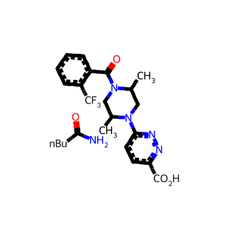 CC1CN(c2ccc(C(=O)O)nn2)C(C)CN1C(=O)c1ccccc1C(F)(F)F.CCCCC(N)=O